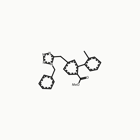 COC(=O)c1ccc(Cc2nnnn2Cc2ccccc2)cc1-c1ccccc1C